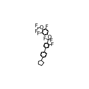 Fc1cc(-c2ccc(C3CCCC3)cc2)ccc1C(F)(F)Oc1cc(F)c(OC(F)F)c(F)c1